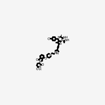 CC(=N)N1C(=N)[C@H](C)N=C(c2ccc(Cl)cc2)c2c1sc(C#Cc1cnn(CCN3CCC(Oc4cccc5c4CN(C4CCC(=O)NC4=O)C5=O)CC3)c1)c2C